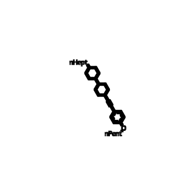 CCCCCCCC1CCC(C2CCC(C#Cc3ccc(OCCCCC)cc3)CC2)CC1